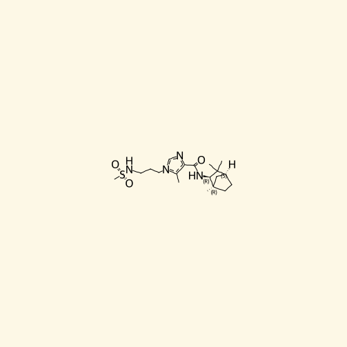 Cc1c(C(=O)N[C@H]2C(C)(C)[C@H]3CC[C@]2(C)C3)ncn1CCCNS(C)(=O)=O